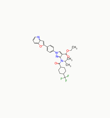 CCOC(=O)c1cn(-c2ccc(-c3cc4ncccc4o3)cc2)nc1N(C(=O)C1CCC(C(F)(F)F)CC1)C(C)C